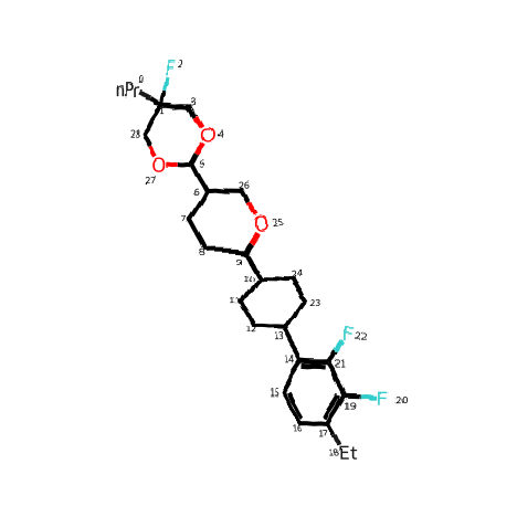 CCCC1(F)COC(C2CCC(C3CCC(c4ccc(CC)c(F)c4F)CC3)OC2)OC1